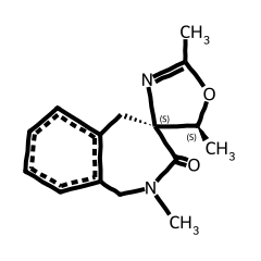 CC1=N[C@@]2(Cc3ccccc3CN(C)C2=O)[C@H](C)O1